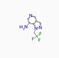 Nc1cncc2cnn(CC(F)(F)F)c12